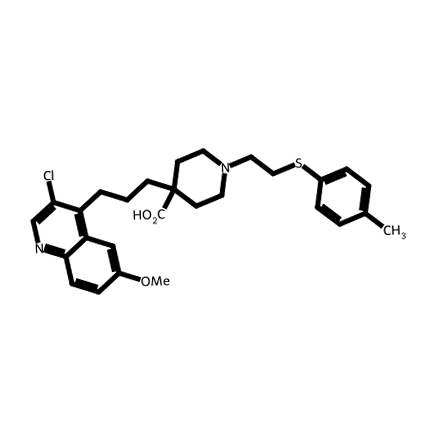 COc1ccc2ncc(Cl)c(CCCC3(C(=O)O)CCN(CCSc4ccc(C)cc4)CC3)c2c1